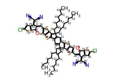 CCCCCCCCC1(CCCCCCCC)c2cc3c(cc2-c2sc4cc(/C=C5\C(=O)c6sc(Cl)cc6C5=C(C#N)C#N)sc4c21)C(CCCCCCCC)(CCCCCCCC)c1c-3sc2cc(/C=C3\C(=O)c4sc(Cl)cc4C3=C(C#N)C#N)sc12